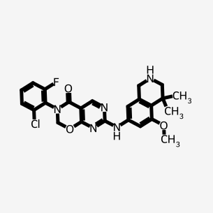 COc1cc(Nc2ncc3c(n2)OCN(c2c(F)cccc2Cl)C3=O)cc2c1C(C)(C)CNC2